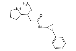 CSC(CC(=O)NC1CC1c1ccccc1)C1CCCN1